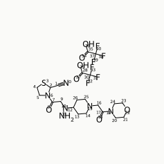 N#CC1SCCN1C(=O)CN(N)C1CCN(CC(=O)N2CCOCC2)CC1.O=C(O)C(F)(F)F.O=C(O)C(F)(F)F